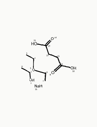 CCO.CCOCC.O=C(O)CCC(=O)O.[NaH]